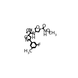 C=C[C@]1(C(=O)N[C@H]2CO[C@@H](C(=O)NOC)C2)CC(c2cc(C)cc(F)c2)=NO1